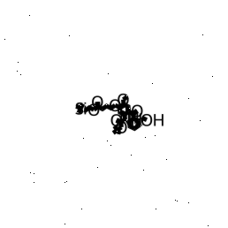 COc1cc(C(=O)N2CCCC[C@H]2CO)c(NC(=O)OC(C)(C)C)cc1OCCCC(=O)OCC[Si](C)(C)C